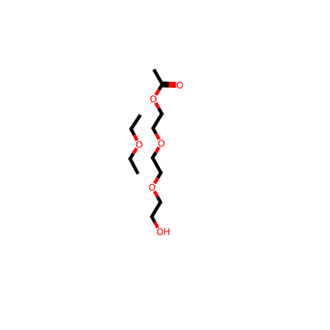 CC(=O)OCCOCCOCCO.CCOCC